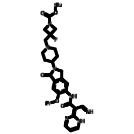 CC(C)Oc1cc2c(cc1NC(=O)/C(C=N)=C1\N=CC=CN1)CN(C1CCN(CC3(F)CN(C(=O)OC(C)(C)C)C3)CC1)C2=O